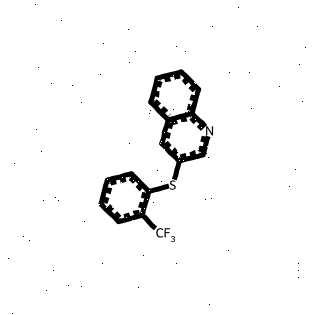 FC(F)(F)c1ccccc1Sc1cnc2ccccc2c1